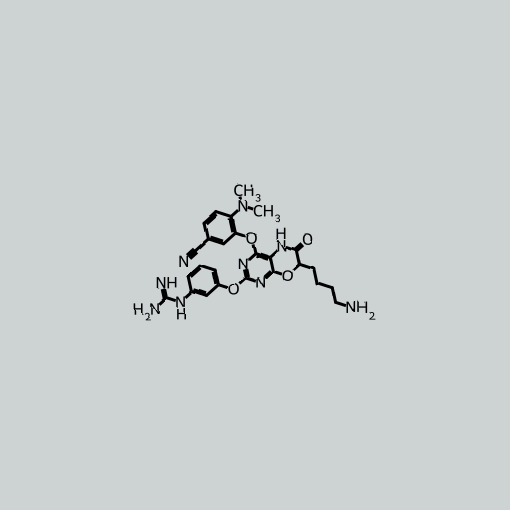 CN(C)c1ccc(C#N)cc1Oc1nc(Oc2cccc(NC(=N)N)c2)nc2c1NC(=O)C(CCCCN)O2